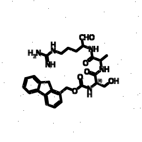 CC(NC(=O)[C@@H](CO)NC(=O)OCc1cccc2c1Cc1ccccc1-2)C(=O)NC(C=O)CCCNC(=N)N